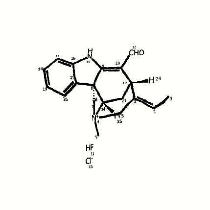 C/C=C1/C[N+]2(C)CC[C@]34C(=C(C=O)[C@H]1C[C@@H]32)Nc1ccccc14.F.[Cl-]